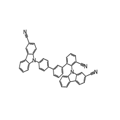 N#Cc1ccc2c(c1)c1ccccc1n2-c1ccc(-c2cccc(-c3cccc(C#N)c3-n3c4ccccc4c4ccc(C#N)cc43)c2)cc1